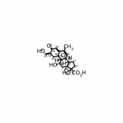 CC1=C[C@@H]2[C@H]([C@@H](O)C[C@@]3(C)[C@H]2CC[C@]3(O)C(=O)O)[C@@]2(C)CC(=CO)C(=O)C=C12